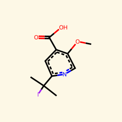 COc1cnc(C(C)(C)I)cc1C(=O)O